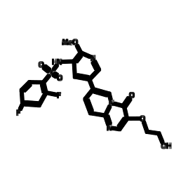 COc1ncc(-c2ccc3ncc(OCCO)c(=O)n3c2)cc1NS(=O)(=O)c1ccc(F)cc1F